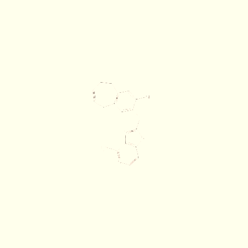 Nc1cc2c(cc1Sc1nc3c(N)nccc3[nH]1)CC=CCC2